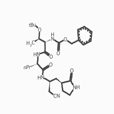 CCC[C@H](NC(=O)[C@@H](NC(=O)OCc1ccccc1)[C@@H](C)OC(C)(C)C)C(=O)N[C@H](CC#N)C[C@@H]1CCNC1=O